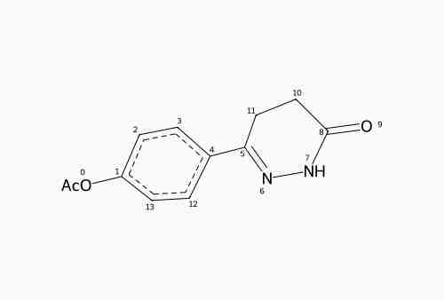 CC(=O)Oc1ccc(C2=NNC(=O)CC2)cc1